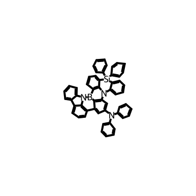 c1ccc(N(c2ccccc2)c2cc3c4c(c2)N2c5ccccc5[Si](c5ccccc5)(c5ccccc5)c5cccc(c52)B4n2c4ccccc4c4cccc-3c42)cc1